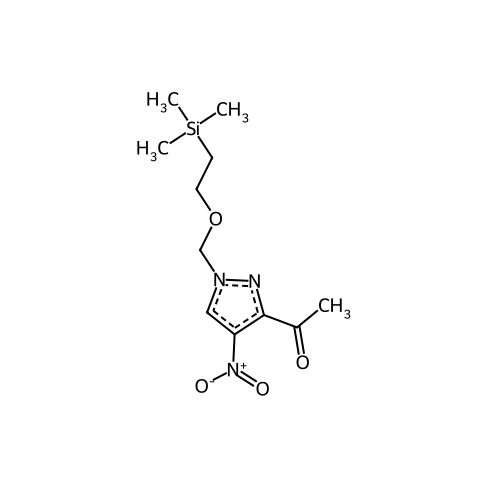 CC(=O)c1nn(COCC[Si](C)(C)C)cc1[N+](=O)[O-]